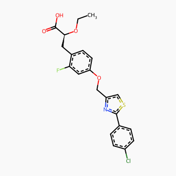 CCO[C@@H](Cc1ccc(OCc2csc(-c3ccc(Cl)cc3)n2)cc1F)C(=O)O